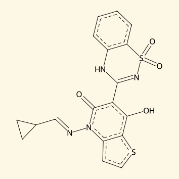 O=c1c(C2=NS(=O)(=O)c3ccccc3N2)c(O)c2sccc2n1N=CC1CC1